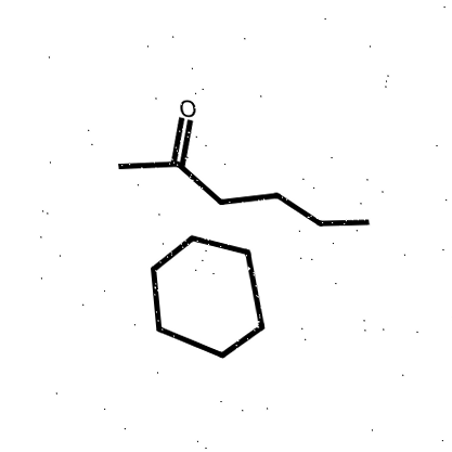 C1CCCCC1.CCCCC(C)=O